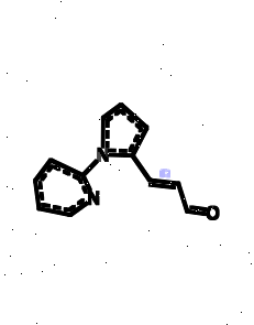 O=C/C=C/c1cccn1-c1ccccn1